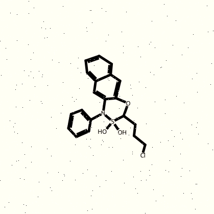 OS1(O)C(CCCCl)Oc2cc3ccccc3cc2N1c1ccccc1